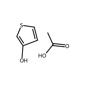 CC(=O)O.Oc1ccsc1